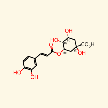 O=C(C=Cc1ccc(O)c(O)c1)O[C@@H]1C[C@](O)(C(=O)O)C[C@@H](O)[C@H]1O